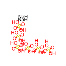 O=S(=O)(O)O.O=S(=O)(O)O.O=S(=O)(O)O.O=S(=O)(O)O.O=S(=O)(O)O.O=S(=O)(O)O.[NaH].[NaH]